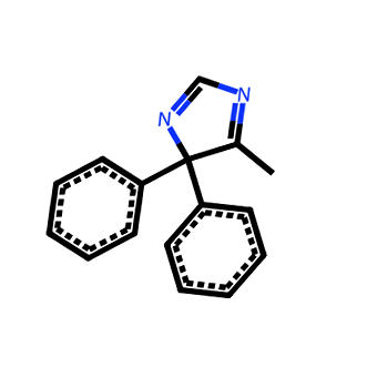 CC1=NC=NC1(c1ccccc1)c1ccccc1